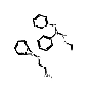 CCOBN(Oc1ccccc1)c1ccccc1.NCCOB1c2ccccc21